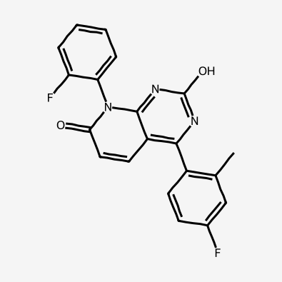 Cc1cc(F)ccc1-c1nc(O)nc2c1ccc(=O)n2-c1ccccc1F